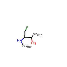 CCCCCNC(CF)C(O)CCCCC